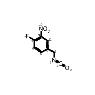 O=C=NCc1ccc(F)c([N+](=O)[O-])c1